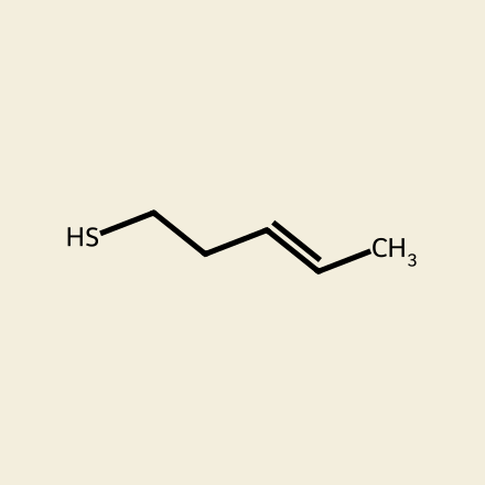 CC=CCCS